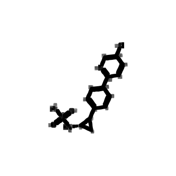 CC(C)S(=O)(=O)N[C@H]1CC1c1ccc(-c2ccc(Cl)cn2)cc1